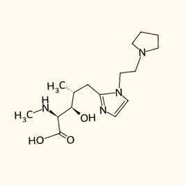 CN[C@H](C(=O)O)[C@H](O)[C@H](C)Cc1nccn1CCN1CCCC1